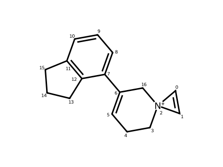 C1=C[N+]12CCC=C(c1cccc3c1CCC3)C2